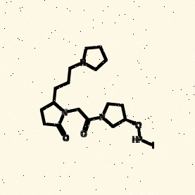 O=C(CN1C(=O)CCC1CCCN1CCCC1)N1CC[C@@H](OPI)C1